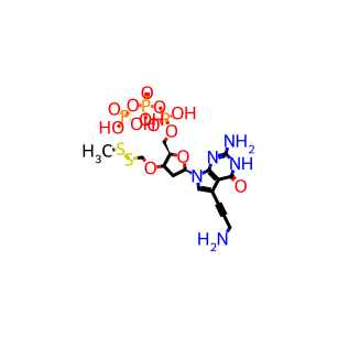 CSSCOC1C[C@H](n2cc(C#CCN)c3c(=O)[nH]c(N)nc32)O[C@@H]1COP(=O)(O)OP(=O)(O)OP(=O)(O)O